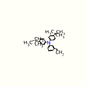 C=Cc1cccc(N(c2ccc(C(C)(C)C)cc2)c2ccc(C(C)(C)CC)cc2)c1